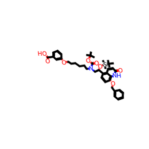 CC(C)(C)OC(=O)N(CCCCCCOc1cccc(C(=O)O)c1)CC(O[Si](C)(C)C(C)(C)C)c1ccc(OCc2ccccc2)c2[nH]c(=O)ccc12